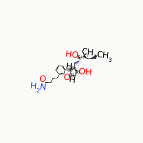 CC#CC[C@H](C)[C@@H](O)/C=C/[C@@H]1[C@H]2c3cccc(CCCC(N)=O)c3O[C@H]2C[C@H]1O